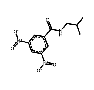 CC(C)CNC(=O)c1cc([N+](=O)[O-])cc([N+](=O)[O-])c1